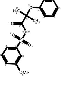 COc1cccc(S(=O)(=O)NC(=O)C(C)(C)Oc2ccccc2)c1